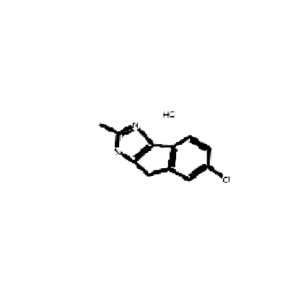 Cc1nc2c(s1)Cc1cc(Cl)ccc1-2.Cl